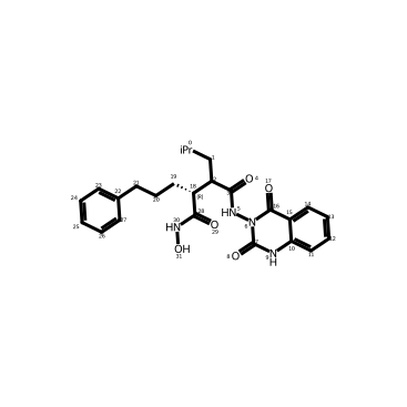 CC(C)CC(C(=O)Nn1c(=O)[nH]c2ccccc2c1=O)[C@@H](CCCc1ccccc1)C(=O)NO